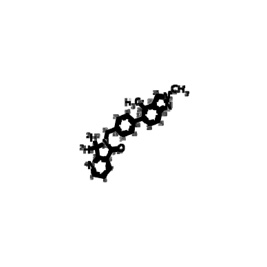 [2H]C1([2H])c2ncccc2C(=O)N1Cc1ccc(-c2ccc3nn(C)cc3c2C)cc1